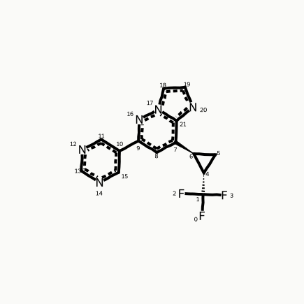 FC(F)(F)[C@H]1C[C@@H]1c1cc(-c2cncnc2)nn2ccnc12